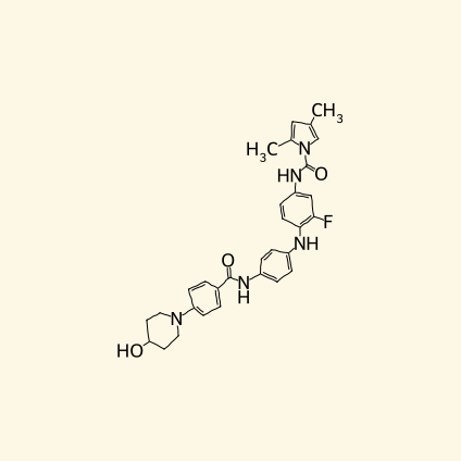 Cc1cc(C)n(C(=O)Nc2ccc(Nc3ccc(NC(=O)c4ccc(N5CCC(O)CC5)cc4)cc3)c(F)c2)c1